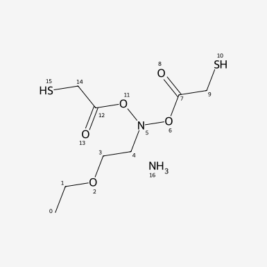 CCOCCN(OC(=O)CS)OC(=O)CS.N